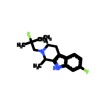 CC1c2[nH]c3cc(F)ccc3c2C[C@@H](C)N1CC(C)(C)F